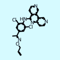 C=CCON=C(C)c1cc(Cl)c(Nc2nc3ccncc3c3cnccc23)c(Cl)c1